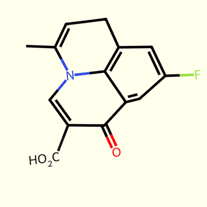 CC1=CCc2cc(F)cc3c(=O)c(C(=O)O)cn1c23